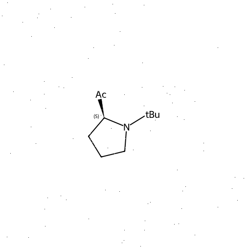 CC(=O)[C@@H]1CCCN1C(C)(C)C